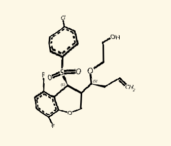 C=CC[C@H](OCCO)C1COc2c(F)ccc(F)c2[C@H]1S(=O)(=O)c1ccc(Cl)cc1